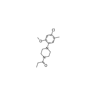 CCC(=O)N1CCN(c2cc(C)c(Cl)cc2OC)CC1